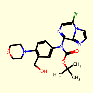 CC(C)(C)OC(=O)N(c1ccc(N2CCOCC2)c(CO)c1)c1ncc(Br)n2ccnc12